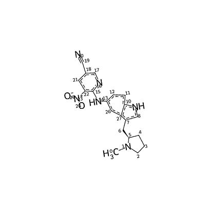 CN1CCC[C@@H]1Cc1c[nH]c2ccc(Nc3ncc(C#N)cc3[N+](=O)[O-])cc12